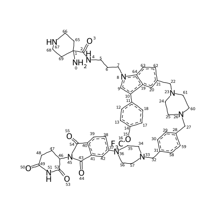 NC1(C(=O)NCCCn2cc(-c3ccc(OC(F)(F)F)cc3)c3cc(CN4CCN(Cc5ccc(CN6CCN(c7ccc8c(c7)C(=O)N(C7CCC(=O)NC7=O)C8=O)CC6)cc5)CC4)ccc32)CCNCC1